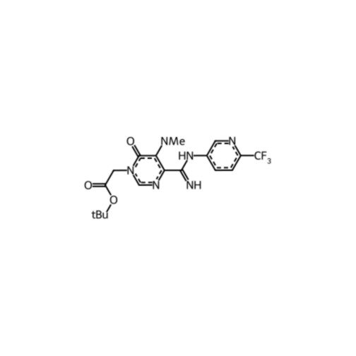 CNc1c(C(=N)Nc2ccc(C(F)(F)F)nc2)ncn(CC(=O)OC(C)(C)C)c1=O